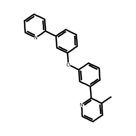 Cc1cccnc1-c1cccc(Oc2cccc(-c3ccccn3)c2)c1